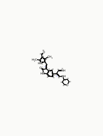 Cc1[nH]c(/C=C2\C(=O)Nc3ccc(/C(C=N)=C/NC4CCOCC4)cc32)c(C)c1C=O